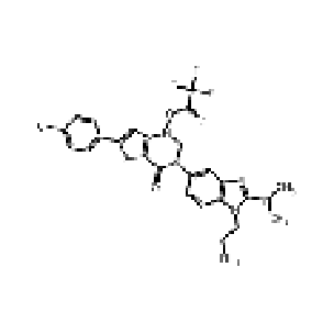 CN(C)c1nc2cc(N3CN(OC(=O)C(F)(F)F)c4cc(-c5ccc(Cl)cc5)sc4C3=O)ccc2n1CCN